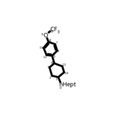 CCCCCCCC1CCC(c2ccc(OC(F)(F)F)cc2)CC1